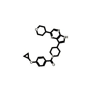 O=C(c1ccc(OC2CC2)cc1)N1CCC(c2c[nH]c3ncc(C4CCOCC4)nc23)CC1